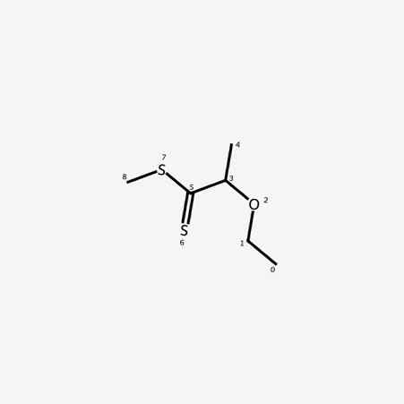 CCOC(C)C(=S)SC